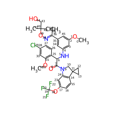 COc1cc(NC(C(=O)N2CC3(CC3)c3ccc(OC(F)(F)F)cc32)c2ccc(Cl)cc2OC)cc(C(C)=NOC(C)(C)CO)c1